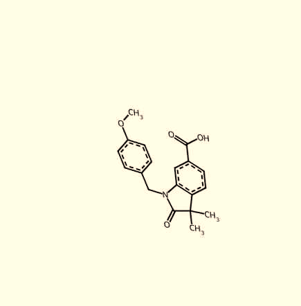 COc1ccc(CN2C(=O)C(C)(C)c3ccc(C(=O)O)cc32)cc1